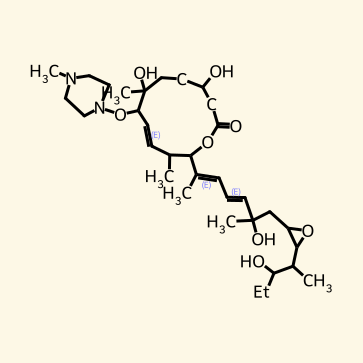 CCC(O)C(C)C1OC1CC(C)(O)/C=C/C=C(\C)C1OC(=O)CC(O)CCC(C)(O)C(ON2CCN(C)CC2)/C=C/C1C